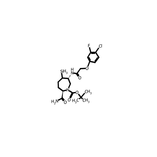 CC(C)(C)OC(=O)N1C[C@@H](NC(=O)COc2ccc(Cl)c(F)c2)C([SiH3])CC[C@@H]1C(N)=O